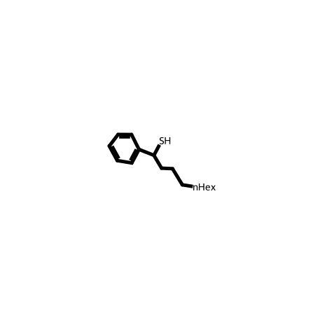 CCCCCCCCCC(S)c1ccccc1